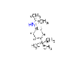 CC(C)NC1CCC(C(C)(C)C)CC1